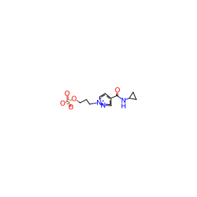 O=C(NC1CC1)c1cc[n+](CCCOS(=O)(=O)[O-])nc1